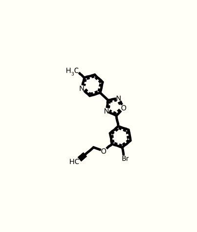 C#CCOc1cc(-c2nc(-c3ccc(C)nc3)no2)ccc1Br